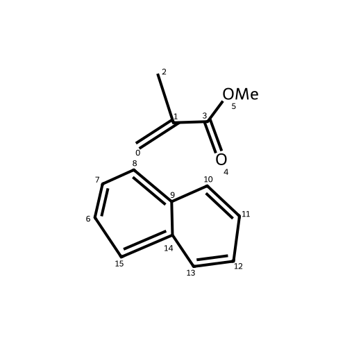 C=C(C)C(=O)OC.c1ccc2ccccc2c1